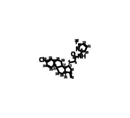 C=C1C[C@@H](CCC(=O)Nc2cccc(F)n2)C2C3CCc4cc(Cl)ccc4C3CC[C@]12C